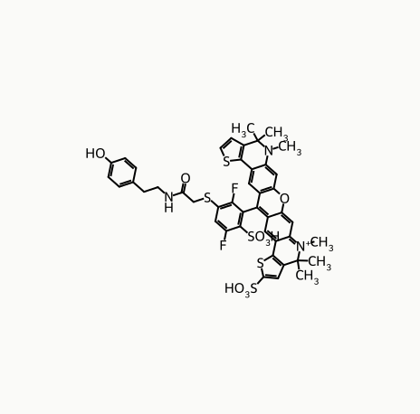 CN1c2cc3c(cc2-c2sccc2C1(C)C)C(c1c(F)c(SCC(=O)NCCc2ccc(O)cc2)cc(F)c1S(=O)(=O)O)=c1cc2c(cc1O3)=[N+](C)C(C)(C)c1cc(S(=O)(=O)O)sc1-2